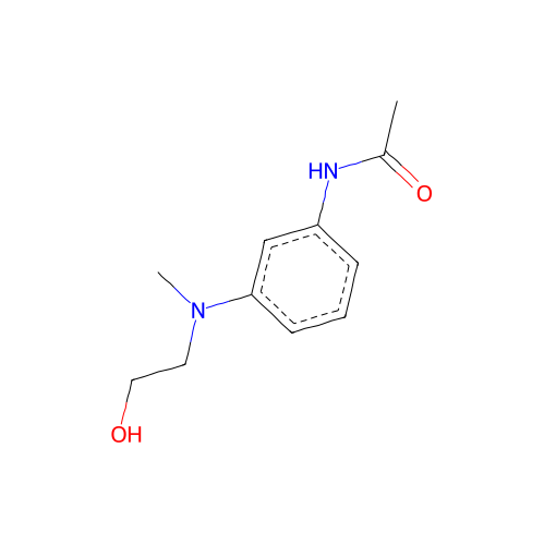 CC(=O)Nc1cccc(N(C)CCO)c1